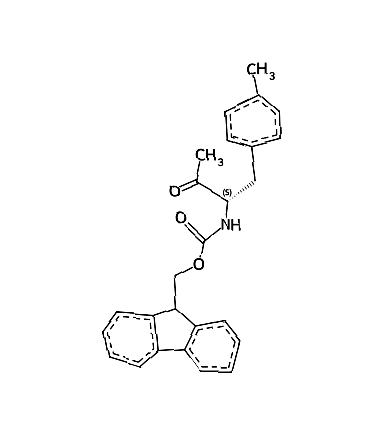 CC(=O)[C@H](Cc1ccc(C)cc1)NC(=O)OCC1c2ccccc2-c2ccccc21